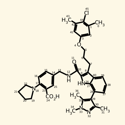 Cc1cc(OCCCc2c(C(=O)NCc3ccc(N4CCCC4)c(C(=O)O)c3)[nH]c3c(-c4c(C)nn(C)c4C)cccc23)cc(C)c1Cl